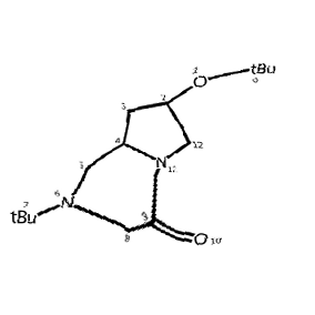 CC(C)(C)OC1CC2CN(C(C)(C)C)CC(=O)N2C1